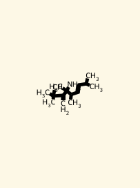 C=C(C(C)(C)C)C(C)(N)C(C)/C=C/C(C)C